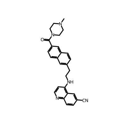 CN1CCN(C(=O)c2ccc3cc(CCNc4ccnc5ccc(C#N)cc45)ccc3c2)CC1